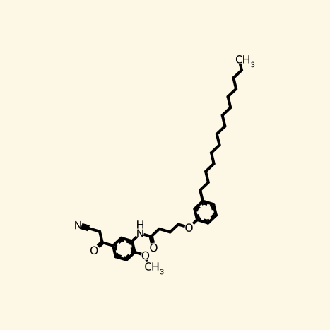 CCCCCCCCCCCCCCCc1cccc(OCCCC(=O)Nc2cc(C(=O)CC#N)ccc2OC)c1